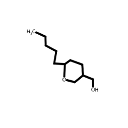 CCCCCC1CCC(CO)CO1